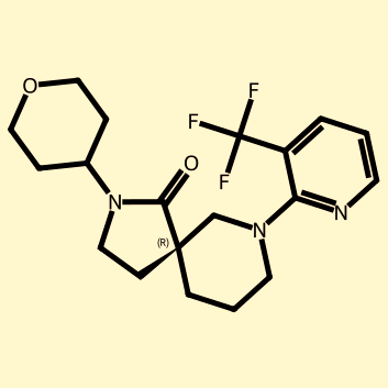 O=C1N(C2CCOCC2)CC[C@@]12CCCN(c1ncccc1C(F)(F)F)C2